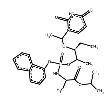 CC[C@H](OC(C)n1ccc(=O)[nH]c1=O)C(C)OP(=O)(NC(C)C(=O)OC(C)C)Oc1cccc2ccccc12